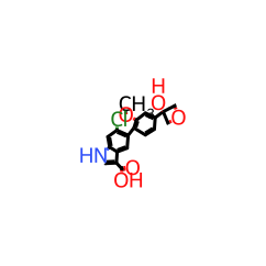 COc1cc(C2(O)COC2)ccc1-c1cc2c(C(=O)O)c[nH]c2cc1Cl